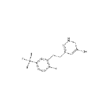 OC1=CC(CCc2cc(C(F)(F)F)ccc2F)=NNC1